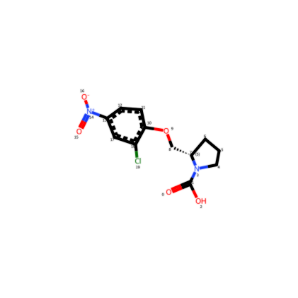 O=C(O)N1CCC[C@H]1COc1ccc([N+](=O)[O-])cc1Cl